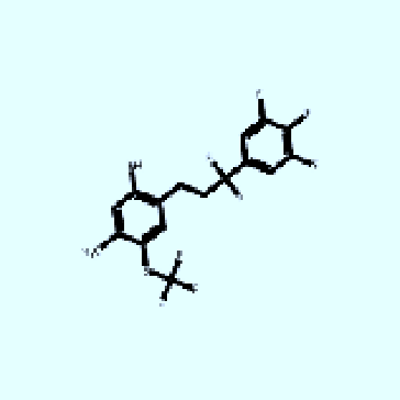 Cc1cc(S)c(CCC(F)(F)c2cc(F)c(F)c(F)c2)cc1SC(F)(F)F